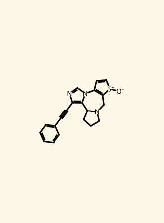 [O-][s+]1ccc2c1CN1CCCC1c1c(C#Cc3ccccc3)ncn1-2